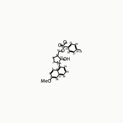 COc1ccc2c(N3CCC(COS(=O)(=O)c4ccc(C)cc4)C3O)cccc2c1